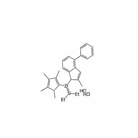 CC[Si](CC)=[Zr]([C]1=C(C)C(C)=C(C)C1C)[CH]1C(C)=Cc2c(-c3ccccc3)cccc21.Cl.Cl